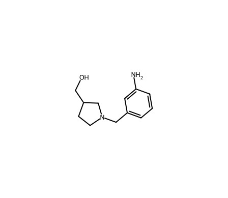 Nc1cccc(CN2CCC(CO)C2)c1